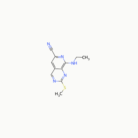 CCNc1nc(C#N)cc2cnc(SC)nc12